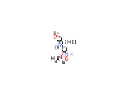 CCOc1ccc2c(C=O)c(-c3ccc(NC(=O)OC(C)C4CC4)cc3)n(C3CCC3)c2c1